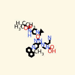 Cc1cccc2cccc(N3CCc4c(nc(OCC5(N6CCC(NC(=O)OC(C)(C)C)CC6)CC5)nc4N4CCN(C(=O)O)C(CC#N)C4)C3)c12